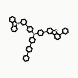 c1ccc(-c2ccc(-c3ccc(N(c4ccc(-c5cccc(-n6c7ccccc7c7ccccc76)c5)cc4)c4ccc(-c5ccc6oc7c(-c8ccccc8)cccc7c6c5)cc4)cc3)cc2)cc1